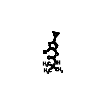 CC(C)(C)NC(=O)Oc1cc(C2CC2)sc1Br